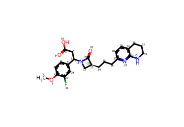 COc1ccc(C(CC(=O)O)N2C[C@H](CCCc3ccc4c(n3)NCCC4)C2=O)cc1F